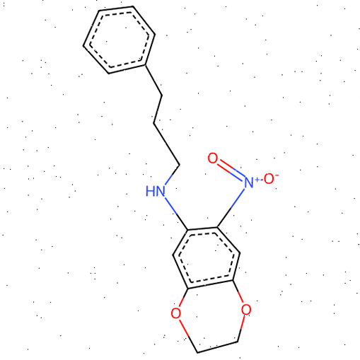 O=[N+]([O-])c1cc2c(cc1NCCCc1ccccc1)OCCO2